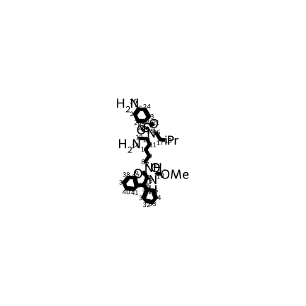 COC(=O)N[C@H](C(=O)NCCCCC(CN)N(CCC(C)C)S(=O)(=O)c1ccc(N)cc1)C(c1ccccc1)c1ccccc1